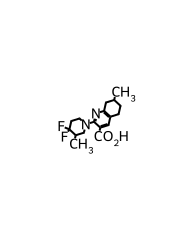 CC1CCc2cc(C(=O)O)c(N3CCC(F)(F)C(C)C3)nc2C1